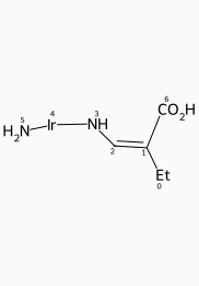 CCC(=C[NH][Ir][NH2])C(=O)O